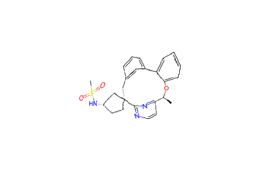 C[C@@H]1Oc2ccccc2-c2cccc(c2)C[C@@]2(CC[C@H](NS(C)(=O)=O)C2)c2nccc1n2